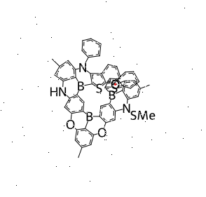 CSN1c2cc3c(cc2B2c4sc5ccccc5c4Oc4cc(C)cc1c42)B1c2cc4c(cc2Oc2cc(C)cc(c21)O3)Nc1cc(C)cc2c1B4c1sc3ccccc3c1N2c1ccccc1